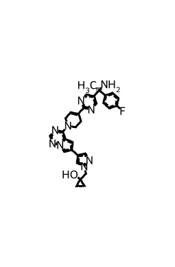 C[C@](N)(c1ccc(F)cc1)c1cnc(C2=CCN(c3ncnn4cc(-c5cnn(CC6(O)CC6)c5)cc34)CC2)nc1